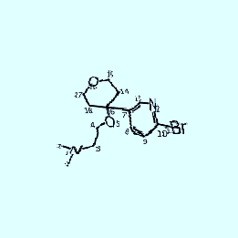 CN(C)CCOC1(c2ccc(Br)nc2)CCOCC1